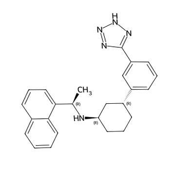 C[C@@H](N[C@@H]1CCC[C@@H](c2cccc(-c3nn[nH]n3)c2)C1)c1cccc2ccccc12